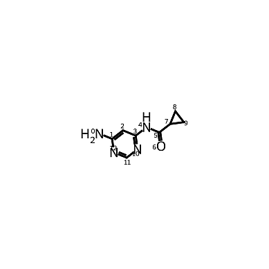 Nc1cc(NC(=O)C2CC2)ncn1